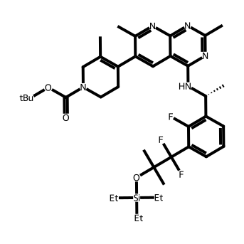 CC[Si](CC)(CC)OC(C)(C)C(F)(F)c1cccc([C@@H](C)Nc2nc(C)nc3nc(C)c(C4=C(C)CN(C(=O)OC(C)(C)C)CC4)cc23)c1F